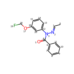 CC=NN(C(=O)c1ccccc1)c1cccc(OCF)c1